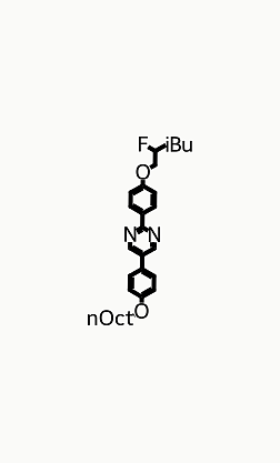 CCCCCCCCOc1ccc(-c2cnc(-c3ccc(OCC(F)C(C)CC)cc3)nc2)cc1